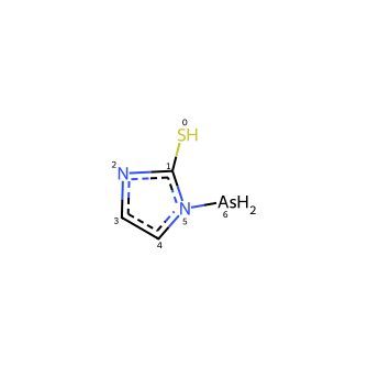 Sc1nccn1[AsH2]